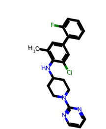 Cc1cc(-c2ccccc2F)cc(Cl)c1NC1CCN(c2ncccn2)CC1